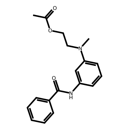 CC(=O)OCCN(C)c1cccc(NC(=O)c2ccccc2)c1